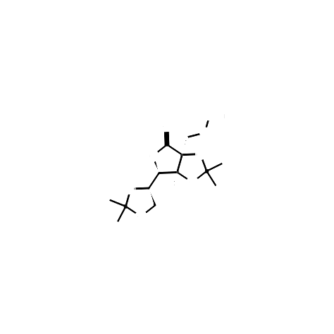 CCCCOC[C@]12OC(C)(C)O[C@H]1[C@@H]([C@H]1COC(C)(C)O1)OC2=O